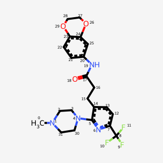 CN1CCN(c2nc(C(F)(F)F)ccc2CCC(=O)Nc2ccc3c(c2)OCCO3)CC1